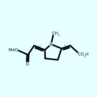 COC(=O)/C=C1\CC/C(=C\C(=O)O)N1C